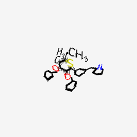 CC[C@H]1S[C@@H](c2cccc(Cc3ccccn3)c2)[C@H](OCc2ccccc2)[C@@H](OCc2ccccc2)[C@@H]1C